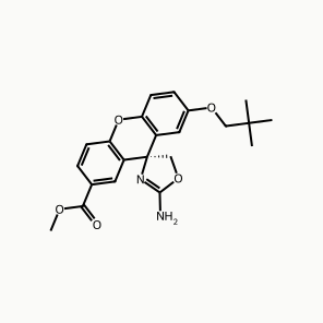 COC(=O)c1ccc2c(c1)[C@@]1(COC(N)=N1)c1cc(OCC(C)(C)C)ccc1O2